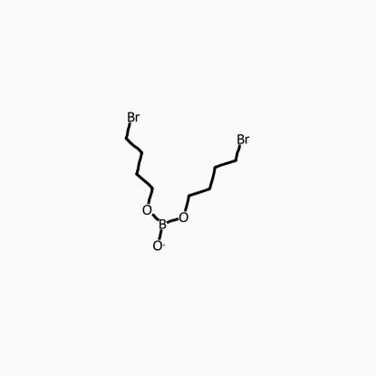 [O]B(OCCCCBr)OCCCCBr